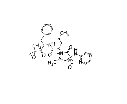 CSCC(NC(=O)[C@](C=O)(CSC)Nc1cnccn1)C(=O)NC(Cc1ccccc1)C(=O)C1(C)CO1